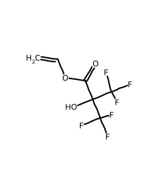 C=COC(=O)C(O)(C(F)(F)F)C(F)(F)F